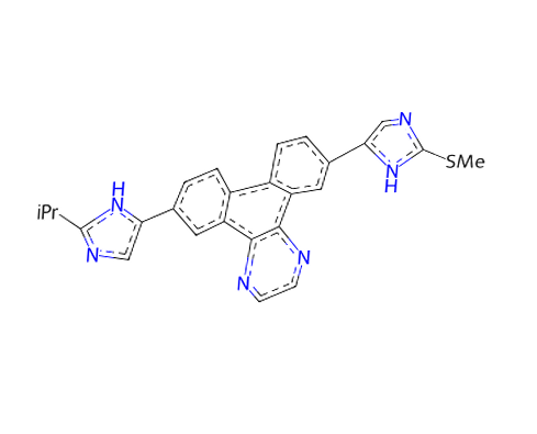 CSc1ncc(-c2ccc3c4ccc(-c5cnc(C(C)C)[nH]5)cc4c4nccnc4c3c2)[nH]1